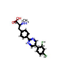 CNC(Cc1ccc(-c2ncc(-c3ccc(F)cc3F)cn2)cc1)C(=O)O